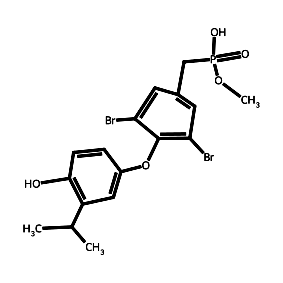 COP(=O)(O)Cc1cc(Br)c(Oc2ccc(O)c(C(C)C)c2)c(Br)c1